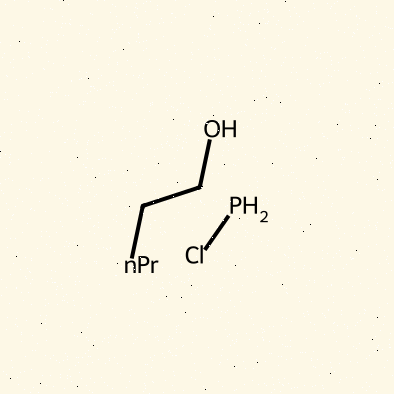 CCCCCO.PCl